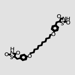 O=C1NC(=O)C(Cc2ccc(OCCCCCCCCCCCOc3ccc(CC4SC(=O)NC4=O)cc3)cc2)S1